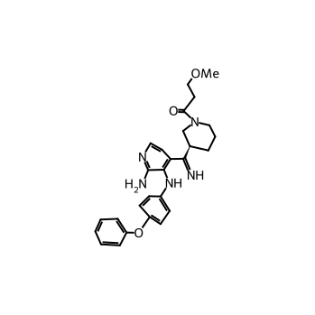 COCCC(=O)N1CCC[C@@H](C(=N)c2ccnc(N)c2Nc2ccc(Oc3ccccc3)cc2)C1